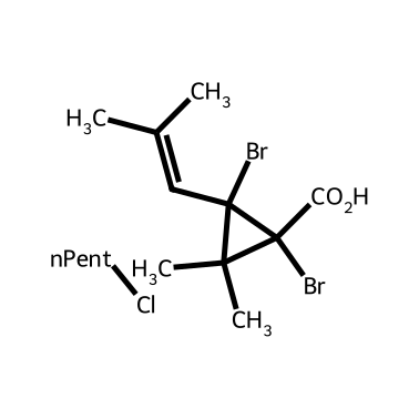 CC(C)=CC1(Br)C(C)(C)C1(Br)C(=O)O.CCCCCCl